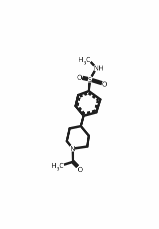 CNS(=O)(=O)c1ccc(C2CCN(C(C)=O)CC2)cc1